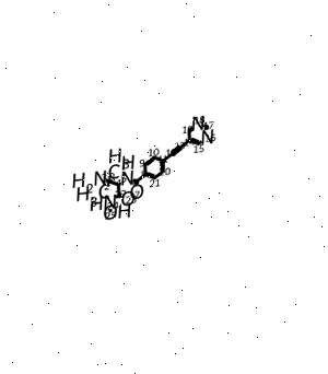 CC(C)(N)[C@H](NC(=O)c1ccc(C#Cc2cncnc2)cc1)C(=O)NO